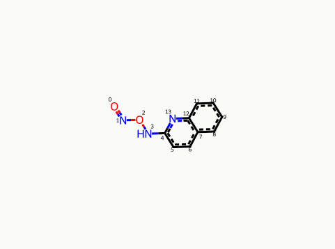 O=NONc1ccc2ccccc2n1